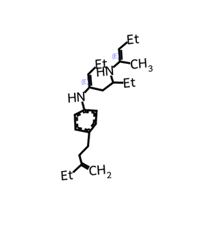 C=C(CC)CCc1ccc(N/C(=C/CC)CC(CC)N/C(C)=C/CC)cc1